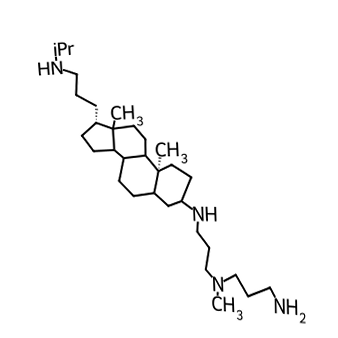 CC(C)NCCC[C@H]1CCC2C3CCC4CC(NCCCN(C)CCCN)CC[C@]4(C)C3CCC21C